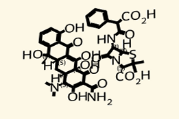 CC1(C)S[C@@H]2[C@H](NC(=O)C(C(=O)O)c3ccccc3)C(=O)N2[C@H]1C(=O)O.CN(C)[C@@H]1C(O)=C(C(N)=O)C(=O)[C@@]2(O)C(O)=C3C(=O)c4c(O)cccc4[C@@](C)(O)[C@H]3C[C@@H]12